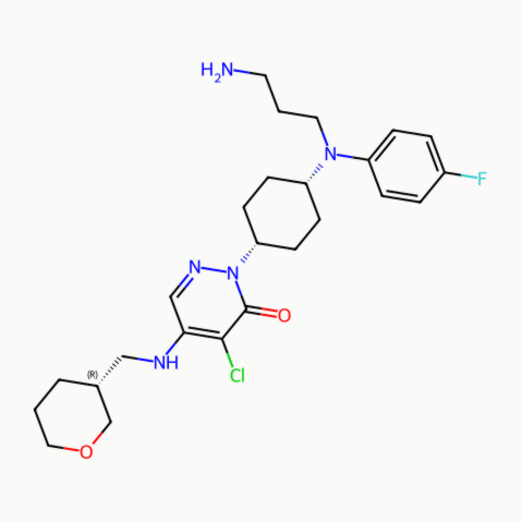 NCCCN(c1ccc(F)cc1)[C@H]1CC[C@@H](n2ncc(NC[C@H]3CCCOC3)c(Cl)c2=O)CC1